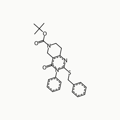 CC(C)(C)OC(=O)N1CCc2nc(SCc3ccccc3)n(-c3ccccc3)c(=O)c2C1